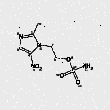 Cc1ncc([N+](=O)[O-])n1CCOS(N)(=O)=O